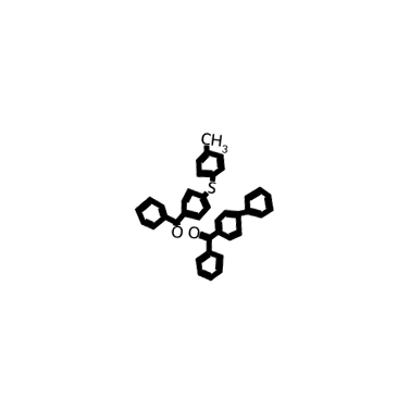 Cc1ccc(Sc2ccc(C(=O)c3ccccc3)cc2)cc1.O=C(c1ccccc1)c1ccc(-c2ccccc2)cc1